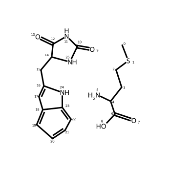 CSCCC(N)C(=O)O.O=C1NC(=O)C(Cc2cc3ccccc3[nH]2)N1